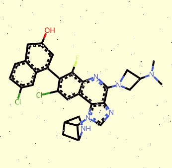 CN(C)C1CN(c2nc3c(F)c(-c4cc(O)cc5ccc(Cl)cc45)c(Cl)cc3c3c2ncn3C2C3CNC2C3)C1